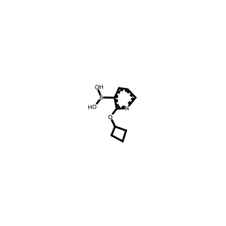 OB(O)c1cccnc1OC1CCC1